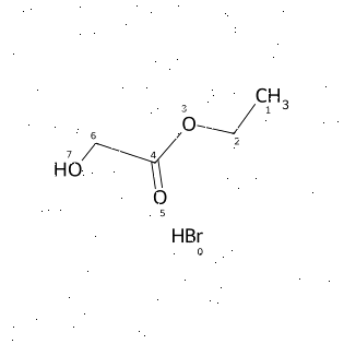 Br.CCOC(=O)CO